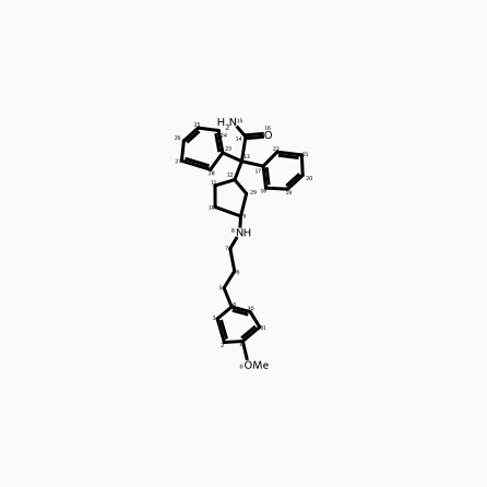 COc1ccc(CCCNC2CCC(C(C(N)=O)(c3ccccc3)c3ccccc3)C2)cc1